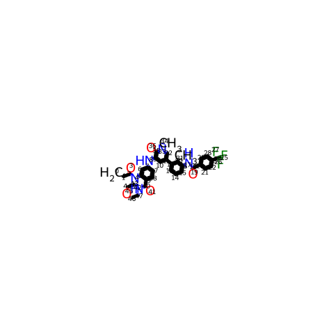 C=CC(=O)Nc1cc(Nc2cc(-c3cccc(NC(=O)c4ccc(C(F)(F)F)cc4)c3C)cn(C)c2=O)ccc1C(=O)N1CCOCC1